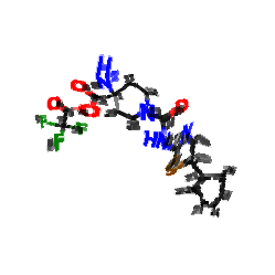 NC1(C(=O)OC(=O)C(F)(F)F)CCN(C(=O)Nc2ncc(-c3ccccc3)s2)CC1